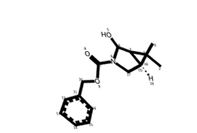 CC1(C)C2C(O)N(C(=O)OCc3ccccc3)C[C@@H]21